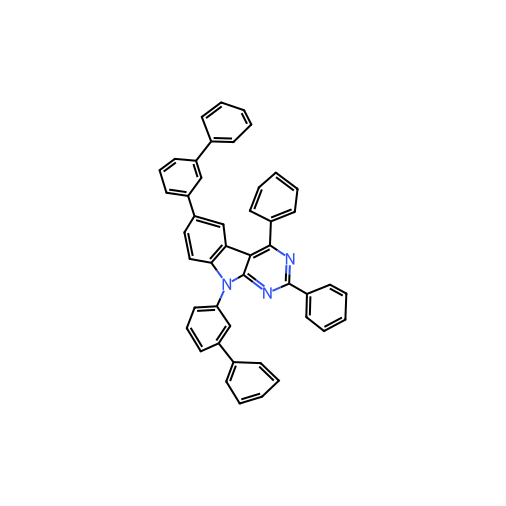 c1ccc(-c2cccc(-c3ccc4c(c3)c3c(-c5ccccc5)nc(-c5ccccc5)nc3n4-c3cccc(-c4ccccc4)c3)c2)cc1